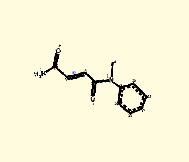 CN(C(=O)/C=C/C(N)=O)c1ccccc1